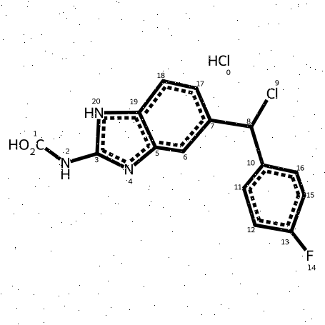 Cl.O=C(O)Nc1nc2cc(C(Cl)c3ccc(F)cc3)ccc2[nH]1